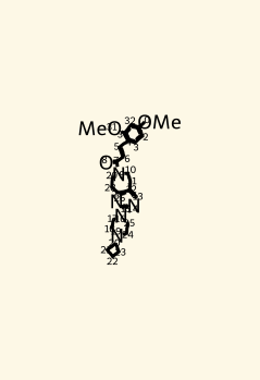 COc1ccc(C=CC(=O)N2CCc3cnc(N4CCN(C5CCC5)CC4)nc3CC2)c(OC)c1